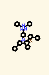 c1ccc(-c2ccc3c(c2)c2c4ccccc4c4sc5c(-c6ccccc6)cccc5c4c2n3-c2ccc(-c3nc(-c4ccccc4)nc(-c4ccccc4)n3)cc2)cc1